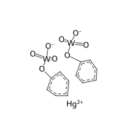 [Hg+2].[O]=[W](=[O])([O-])[O]c1ccccc1.[O]=[W](=[O])([O-])[O]c1ccccc1